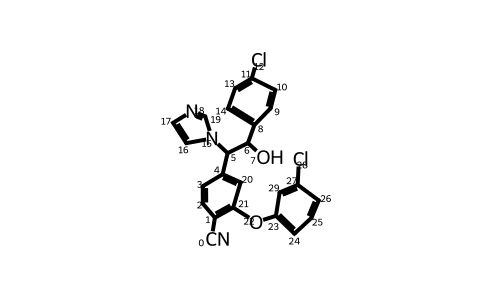 N#Cc1ccc(C(C(O)c2ccc(Cl)cc2)n2ccnc2)cc1Oc1cccc(Cl)c1